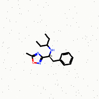 CCC(CC)N[C@@H](Cc1ccccc1)c1noc(C)n1